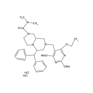 COc1nc(OC)c(CN2CC3CN(C(=O)N(C)C)CCN3C(C(c3ccccc3)c3ccccc3)C2)c(OCC(F)(F)F)n1.Cl.Cl